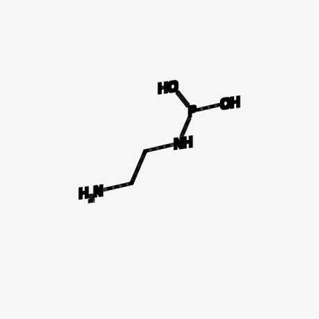 NCCNP(O)O